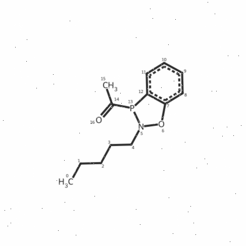 CCCCCN1Oc2ccccc2P1C(C)=O